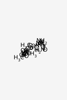 CCn1c(=O)c2c(nc(C(=O)Cc3ccc(OCCNc4nc(N)c5ncn(C6CCC(C(N)=O)O6)c5n4)c(OC)c3)n2C)n(CC)c1=O